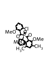 COc1cccc(Cl)c1C(=O)P(=O)(C(=O)c1c(OC)c(C)cc(C)c1OC)c1ccccc1